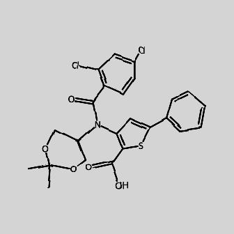 CC1(C)OCC(N(C(=O)c2ccc(Cl)cc2Cl)c2cc(-c3ccccc3)sc2C(=O)O)CO1